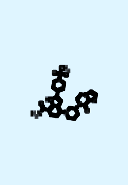 CS(=O)(=O)N1CC=C(c2cc3c(N4CCCC(N5CCn6ccnc6C5=O)C4)ccc(C(N)=O)c3[nH]2)CC1